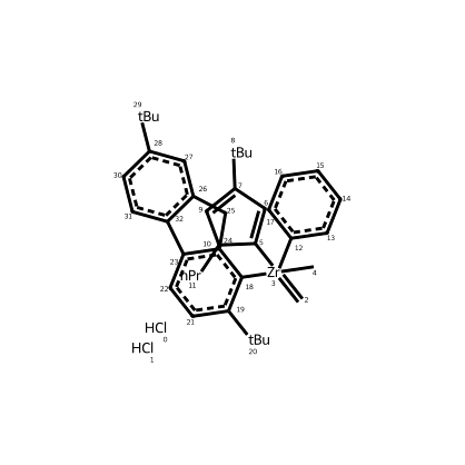 Cl.Cl.[CH2]=[Zr]([CH3])([C]1=CC(C(C)(C)C)=CC1CCC)([c]1ccccc1)[c]1c(C(C)(C)C)ccc2c1Cc1cc(C(C)(C)C)ccc1-2